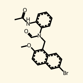 COc1ccc2cc(Br)ccc2c1CN(C=O)c1ccccc1NC(C)=O